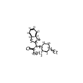 CCN1CCN(C(C(N)=O)c2nc3ccccc3s2)CC1